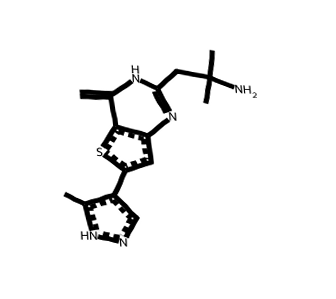 C=C1NC(CC(C)(C)N)=Nc2cc(-c3cn[nH]c3C)sc21